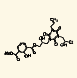 C=CCn1c(=O)n(CC(O)CC)c(=O)n(CC(O)COC(=O)c2cccc(C(=O)OC)c2O)c1=O